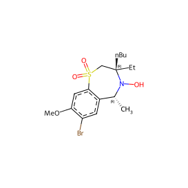 CCCC[C@]1(CC)CS(=O)(=O)c2cc(OC)c(Br)cc2[C@@H](C)N1O